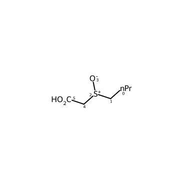 CCCC[S+]([O-])CC(=O)O